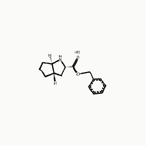 Cl.O=C(OCc1ccccc1)[C@@H]1C[C@@H]2CCC[C@H]2N1